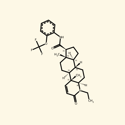 CCN1C(=O)C=C[C@]2(C)[C@H]3CC[C@]4(C)[C@@H](C(=O)Nc5ccccc5OC(F)(F)F)CC[C@H]4[C@@H]3CC[C@@H]12